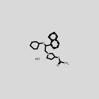 CC(=O)OC1CCN(CC(OC2CCCCC2)c2cccc3ccccc23)C1.Cl